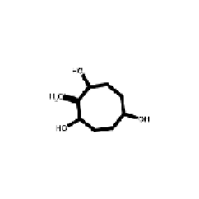 C=C1C(O)CCC(O)CCC1O